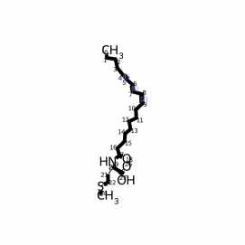 CCCC/C=C/C=C/C=C\CCCCCCCC(=O)N[C@@H](CCSC)C(=O)O